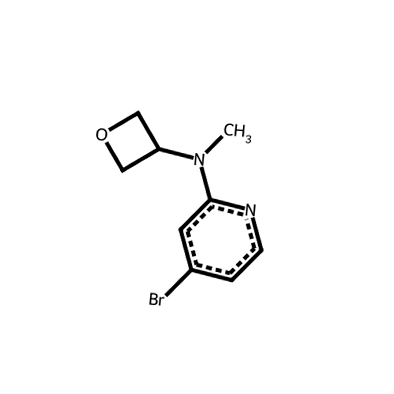 CN(c1cc(Br)ccn1)C1COC1